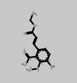 CCOC(=O)C=Cc1ccc(O)c(OC)c1C(C)=O